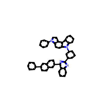 c1ccc(-c2ccc3cc(-c4nc(-c5cccc(-n6c7ccccc7c7c8ccn(-c9ccccc9)c8ccc76)c5)nc5ccccc45)ccc3c2)cc1